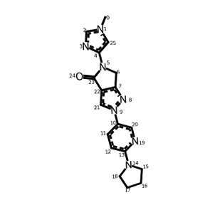 Cn1cnc(N2Cc3nn(-c4ccc(N5CCCC5)nc4)cc3C2=O)c1